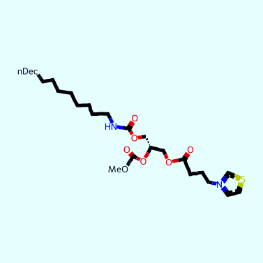 CCCCCCCCCCCCCCCCCCNC(=O)OC[C@H](COC(=O)CCC[n+]1ccsc1)OC(=O)OC